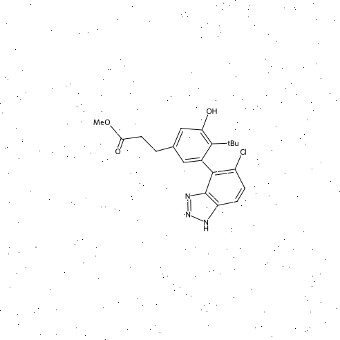 COC(=O)CCc1cc(O)c(C(C)(C)C)c(-c2c(Cl)ccc3[nH]nnc23)c1